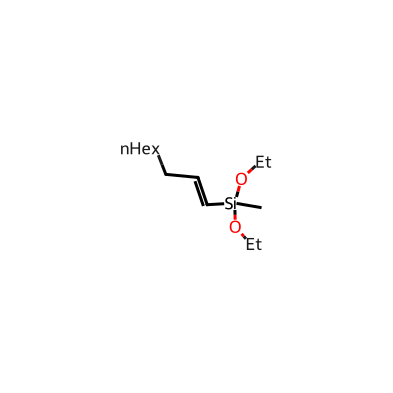 CCCCCCC/C=C/[Si](C)(OCC)OCC